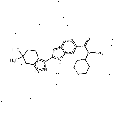 CN(C(=O)c1ccc2cc(-c3n[nH]c4c3CCC(C)(C)C4)[nH]c2c1)C1CCNCC1